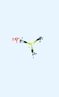 CC[S+](C(C)C)C(C)C.[OH-]